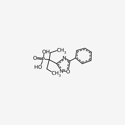 CCC(CC)(c1noc(-c2ccccc2)n1)P(=O)(O)O